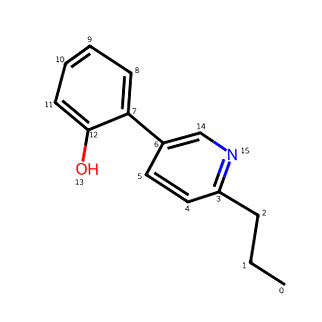 CCCc1ccc(-c2ccccc2O)cn1